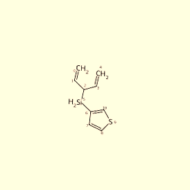 C=CC(C=C)[SiH2]c1ccsc1